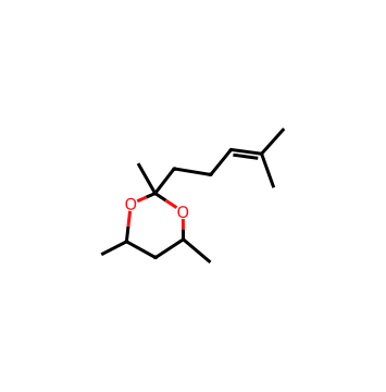 CC(C)=CCCC1(C)OC(C)CC(C)O1